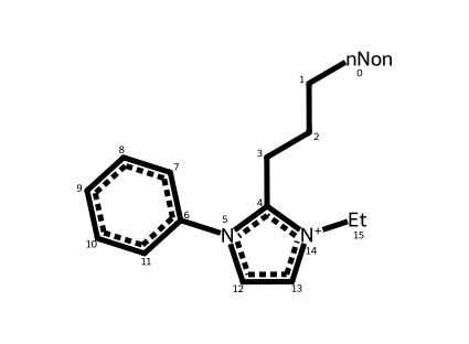 CCCCCCCCCCCCc1n(-c2ccccc2)cc[n+]1CC